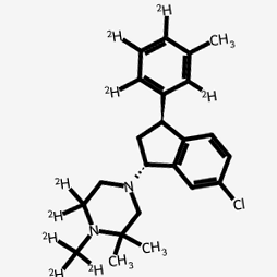 [2H]c1c([2H])c(C)c([2H])c([C@@H]2C[C@@H](N3CC([2H])([2H])N(C([2H])([2H])[2H])C(C)(C)C3)c3cc(Cl)ccc32)c1[2H]